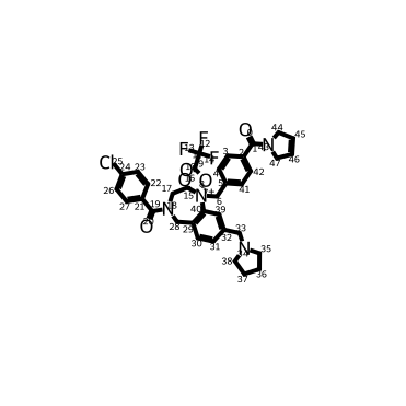 O=C(c1ccc(C[N+]2(OC(=O)C(F)(F)F)C(=O)CN(C(=O)c3ccc(Cl)cc3)Cc3ccc(CN4CCCC4)cc32)cc1)N1CC=CC1